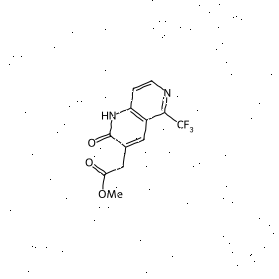 COC(=O)Cc1cc2c(C(F)(F)F)nccc2[nH]c1=O